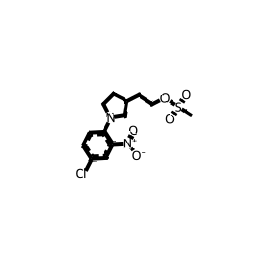 CS(=O)(=O)OCCC1CCN(c2ccc(Cl)cc2[N+](=O)[O-])C1